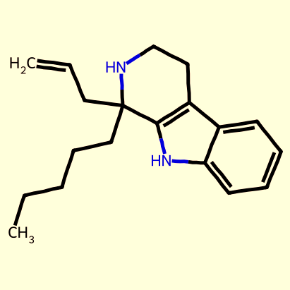 C=CCC1(CCCCC)NCCc2c1[nH]c1ccccc21